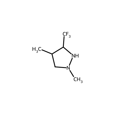 CC1CN(C)NC1C(F)(F)F